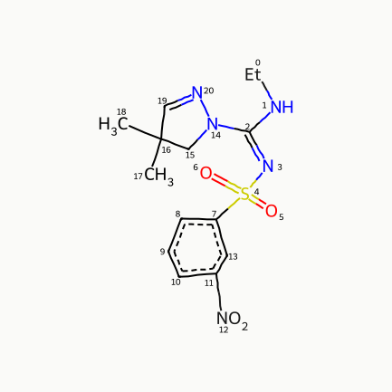 CCN/C(=N/S(=O)(=O)c1cccc([N+](=O)[O-])c1)N1CC(C)(C)C=N1